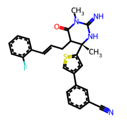 CN1C(=N)N[C@](C)(c2cc(-c3cccc(C#N)c3)cs2)C(C/C=C/c2ccccc2F)C1=O